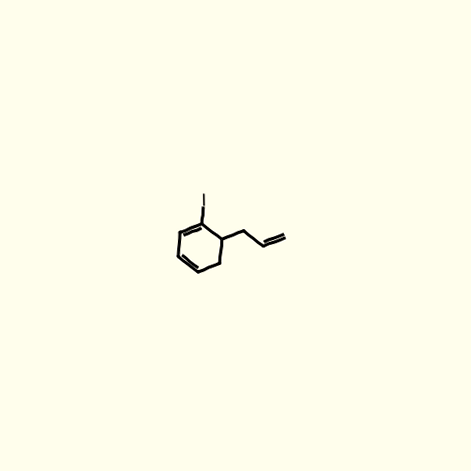 C=CCC1CC=CC=C1I